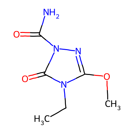 CCn1c(OC)nn(C(N)=O)c1=O